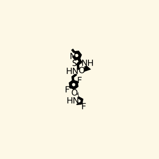 Cc1ccc2c(NC3CC3)c(C(=O)NCCc3cc(F)c(OC[C@@H]4CC(F)CN4)cc3F)sc2n1